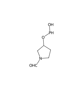 O=CN1CCC(OPO)C1